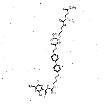 COC(=O)CC[C@H](N)C(=O)NCCCC[C@H](NC(=O)CCc1ccc(-c2ccc(CCCCNC(=N)NC(=O)c3nc(Cl)c(N)nc3N)cc2)cc1)C(=O)OC